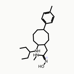 CCC(CC)NC1CCCC(c2ccc(C)cc2)CCC1C/C(=N/O)NC